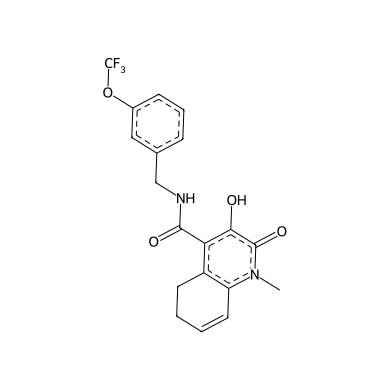 Cn1c2c(c(C(=O)NCc3cccc(OC(F)(F)F)c3)c(O)c1=O)CCC=C2